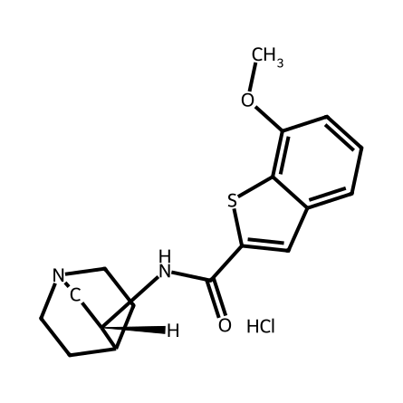 COc1cccc2cc(C(=O)N[C@H]3CN4CCC3CC4)sc12.Cl